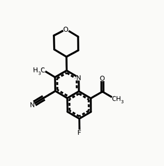 CC(=O)c1cc(F)cc2c(C#N)c(C)c(C3CCOCC3)nc12